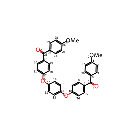 COc1ccc(C(=O)c2ccc(Oc3ccc(Oc4ccc(C(=O)c5ccc(OC)cc5)cc4)cc3)cc2)cc1